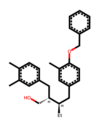 CC[C@H](Cc1ccc(OCc2ccccc2)c(C)c1)[C@H](CO)Cc1ccc(C)c(C)c1